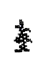 C=C=C(/C=C(C#N)\C=C/C)n1cc(C2CCCC2)c2c(C(=C)CCCN(C(=O)OC(C)(C)C)[C@H](C)CC)c(C)cnc21